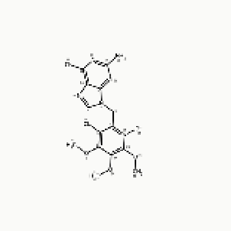 COc1c(Cl)c(Cn2cnc3c(Cl)nc(N)nc32)[n+]([O-])c(OC)c1OC